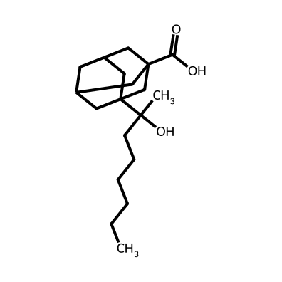 CCCCCCC(C)(O)C12CC3CC(CC(C(=O)O)(C3)C1)C2